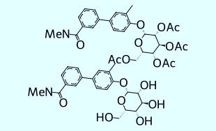 CNC(=O)c1cccc(-c2ccc(O[C@H]3O[C@@H](CO)[C@@H](O)[C@H](O)[C@H]3O)c(C)c2)c1.CNC(=O)c1cccc(-c2ccc(O[C@H]3O[C@@H](COC(C)=O)[C@@H](OC(C)=O)[C@H](OC(C)=O)[C@H]3OC(C)=O)c(C)c2)c1